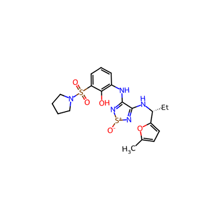 CC[C@@H](Nc1n[s+]([O-])nc1Nc1cccc(S(=O)(=O)N2CCCC2)c1O)c1ccc(C)o1